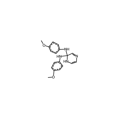 COc1ccc(NC2(Nc3ccc(OC)cc3)C=NC=CN2)cc1